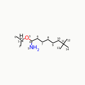 C[SiH](C)OC(N)CCCCCC(C)(C)C